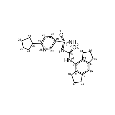 N[S@](=O)(=NC(=O)Nc1c2c(cc3c1CCC3)CCC2)c1ccc(C2CCCC2)nc1